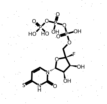 O=c1[nH]c(=S)ccn1[C@@H]1O[C@](F)(COP(=O)(O)OP(=O)(O)OP(=O)(O)O)[C@@H](O)[C@H]1O